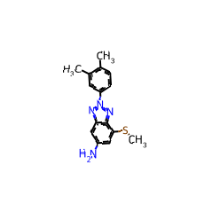 CSc1cc(N)cc2nn(-c3ccc(C)c(C)c3)nc12